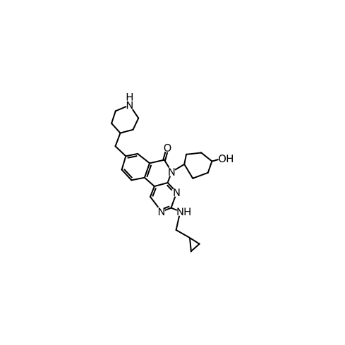 O=c1c2cc(CC3CCNCC3)ccc2c2cnc(NCC3CC3)nc2n1C1CCC(O)CC1